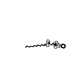 CCCCCCCCCC/C=C/OC(=O)CCC(=O)[O][Hg][c]1ccccc1